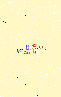 C=CC(O)NCCNC(O)C=C